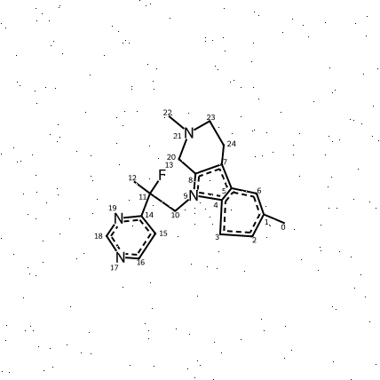 Cc1ccc2c(c1)c1c(n2CC(C)(F)c2ccncn2)CN(C)CC1